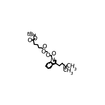 CN(C)CCc1cn(C(=O)OCOC(=O)CCCC(=O)OC(C)(C)C)c2ccccc12